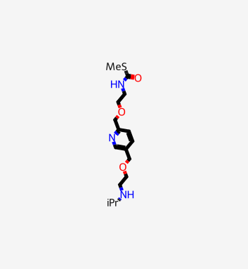 CSC(=O)NCCOCc1ccc(COCCNC(C)C)cn1